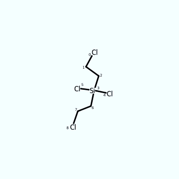 ClCC[Si](Cl)(Cl)CCCl